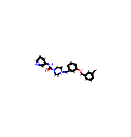 Cc1cccc(COc2cccc(CN3CCN(C(=O)Nc4cccnc4)CC3)c2)c1